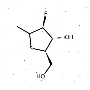 CC1S[C@H](CO)[C@@H](O)[C@@H]1F